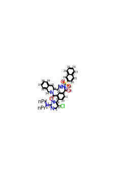 CCCN(CCC)c1ncc(Cl)c(-c2ccc(C(=O)NS(=O)(=O)c3ccc4ccccc4c3)cc2C(=O)N2Cc3ccccc3C[C@H]2CN)n1